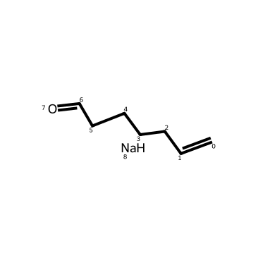 C=CCCCCC=O.[NaH]